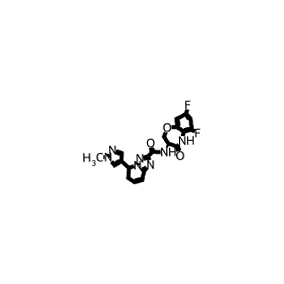 Cn1cc(C2CC=Cc3nc(C(=O)N[C@H]4COc5cc(F)cc(F)c5NC4=O)nn32)cn1